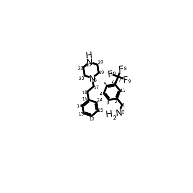 NCc1cccc(C(F)(F)F)c1.c1ccc(CCN2CCNCC2)cc1